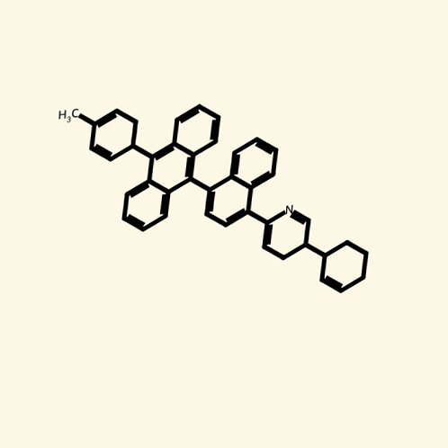 CC1=CCC(c2c3ccccc3c(-c3ccc(C4=CCC(C5C=CCCC5)C=N4)c4ccccc34)c3ccccc23)C=C1